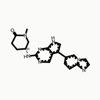 CN1C[C@H](Nc2ncc3c(-c4ccc5nccn5c4)c[nH]c3n2)CCC1=O